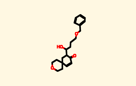 O=C1C=CC2(CCOCC2)CC1C(O)CCCOCc1ccccc1